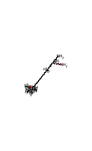 C[C@@H](OC(=O)C(F)(F)F)[C@@H](OC(=O)C(F)(F)F)[C@H](OC(=O)C(F)(F)F)[C@@H](OC(=O)C(F)(F)F)C(=O)NCCCCCCCCCCCCCCCCCC(=O)NCCCCCCC(CNCCCCN)CNCCCCN